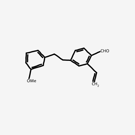 C=Cc1cc(CCc2cccc(OC)c2)ccc1C=O